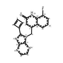 O=c1cc(Cn2c(C3=CC=C3)nc3nccnc32)c2cccc(F)c2[nH]1